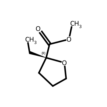 CC[C@]1(C(=O)OC)CCCO1